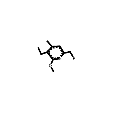 CCc1c(C)cc(CF)nc1OC